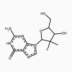 CC1(F)C(O)C(CO)OC1n1cnc2c(=O)[nH]c(N)nc21